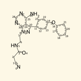 N#CCC(=O)NCCn1nc(-c2ccc(Oc3ccccc3)cc2)c2c(N)ncnc21